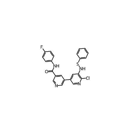 O=C(Nc1ccc(F)cc1)c1cncc(-c2cnc(Cl)c(NSc3ccccc3)c2)c1